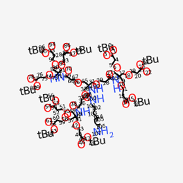 CC(C)(C)OC(=O)CCOCC(COCCC(=O)OC(C)(C)C)(COCCC(=O)OC(C)(C)C)NC(=O)CCOCC(COCCC(=O)NC(COCCC(=O)OC(C)(C)C)(COCCC(=O)OC(C)(C)C)COCCC(=O)OC(C)(C)C)(COCCC(=O)NC(COCCC(=O)OC(C)(C)C)(COCCC(=O)OC(C)(C)C)COCCC(=O)OC(C)(C)C)NC(=O)NCCCCCCN